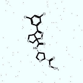 COC(=O)[C@H]1C[C@@H](NC(=O)C23COCC2C(c2cc(Cl)cc(Cl)c2)=NO3)CO1